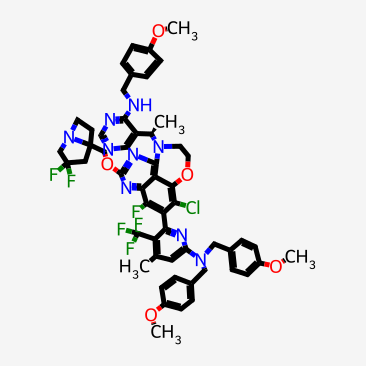 COc1ccc(CNc2ncncc2[C@@H](C)N2CCOc3c(Cl)c(-c4nc(N(Cc5ccc(OC)cc5)Cc5ccc(OC)cc5)cc(C)c4C(F)(F)F)c(F)c4nc(OCC56CCN5CC(F)(F)C6)nc2c34)cc1